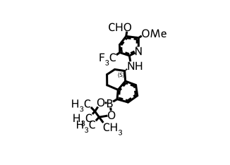 COc1nc(N[C@H]2CCCc3c(B4OC(C)(C)C(C)(C)O4)cccc32)c(C(F)(F)F)cc1C=O